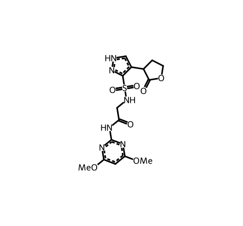 COc1cc(OC)nc(NC(=O)CNS(=O)(=O)c2n[nH]cc2C2CCOC2=O)n1